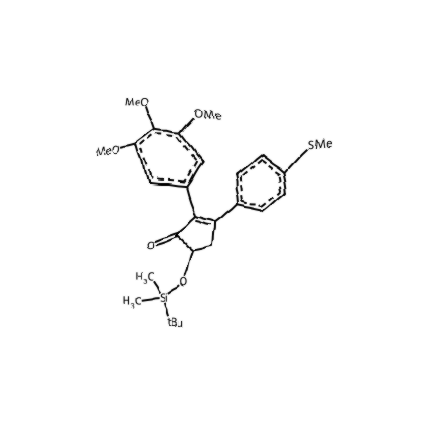 COc1cc(C2=C(c3ccc(SC)cc3)CC(O[Si](C)(C)C(C)(C)C)C2=O)cc(OC)c1OC